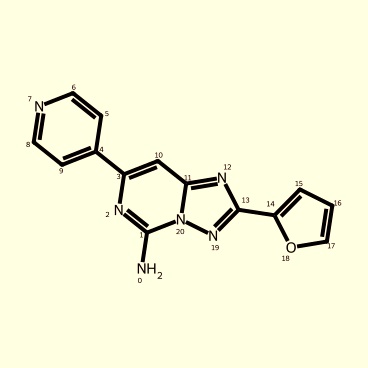 Nc1nc(-c2ccncc2)cc2nc(-c3ccco3)nn12